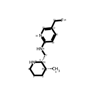 C[C@@H]1CCCN[C@@H]1CNc1ccc(CF)cn1